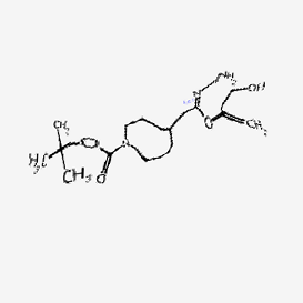 C=C(CO)O/C(=N\N)C1CCN(C(=O)OC(C)(C)C)CC1